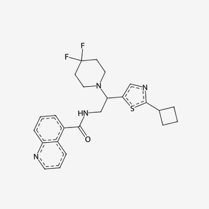 O=C(NCC(c1cnc(C2CCC2)s1)N1CCC(F)(F)CC1)c1cccc2ncccc12